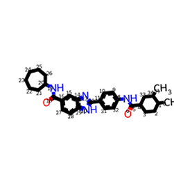 CC1CCC(C(=O)Nc2ccc(-c3nc4cc(C(=O)NC5CCCCCC5)ccc4[nH]3)cc2)CC1C